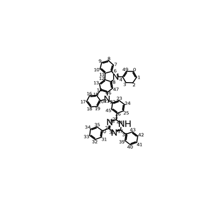 C1=CCCC(n2c3ccccc3c3cc4c5ccccc5n(-c5cccc(C6N=C(c7ccccc7)N=C(c7ccccc7)N6)c5)c4cc32)=C1